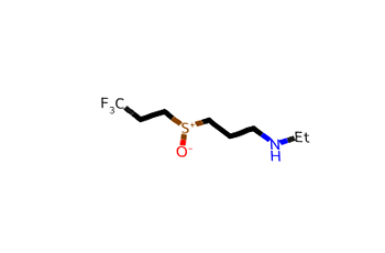 CCNCCC[S+]([O-])CCC(F)(F)F